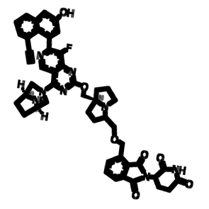 C#Cc1cccc2cc(O)cc(-c3ncc4c(N5C[C@H]6CC[C@@H](C5)N6)nc(OC[C@@]56CCCN5C(COCc5cccc7c5C(=O)N(C5CCC(=O)NC5=O)C7=O)CC6)nc4c3F)c12